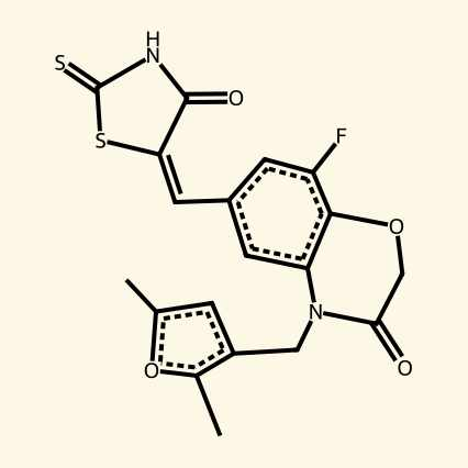 Cc1cc(CN2C(=O)COc3c(F)cc(C=C4SC(=S)NC4=O)cc32)c(C)o1